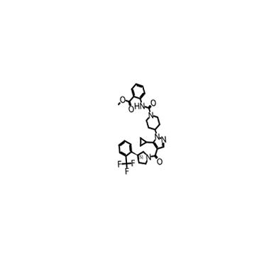 COC(=O)c1ccccc1NC(=O)N1CCC(n2ncc(C(=O)N3CC[C@@H](c4ccccc4C(F)(F)F)C3)c2C2CC2)CC1